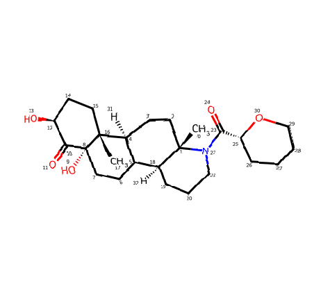 C[C@]12CC[C@H]3C(CC[C@@]4(O)C(=O)[C@@H](O)CC[C@]34C)[C@@H]1CCCN2C(=O)[C@H]1CCCCO1